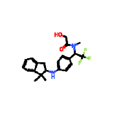 CN(C(=O)CO)C(c1ccc(NC2Cc3ccccc3C2(C)C)cc1)C(F)(F)F